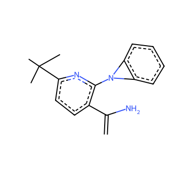 C=C(N)c1ccc(C(C)(C)C)nc1N1c2ccccc21